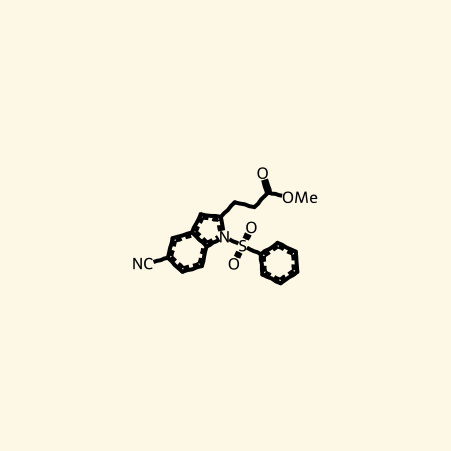 COC(=O)CCc1cc2cc(C#N)ccc2n1S(=O)(=O)c1ccccc1